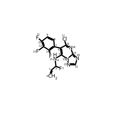 C=CC(F)Nc1c(-c2ccc(F)c(F)c2F)c(Cl)nc2ncnn12